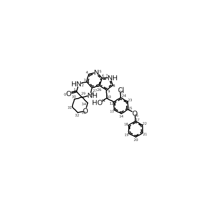 O=C1Nc2cnc3[nH]cc(C(O)c4ccc(Oc5ccccc5)cc4Cl)c3c2NC12CCCOC2